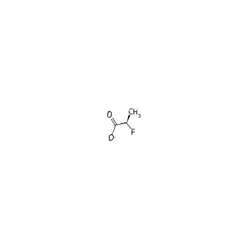 C[C@@H](F)C([O])=O